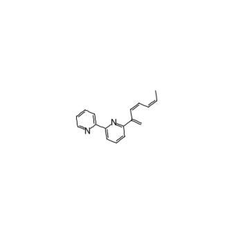 C=C(/C=C\C=C/C)c1cccc(-c2ccccn2)n1